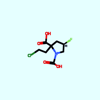 O=C(O)N1C[C@H](F)CC1(CCCl)C(=O)O